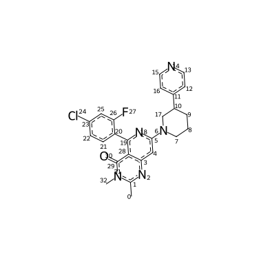 Cc1nc2cc(N3CCCC(c4ccncc4)C3)nc(-c3ccc(Cl)cc3F)c2c(=O)n1C